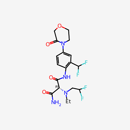 CCN(CC(F)F)[C@H](C(N)=O)C(=O)Nc1ccc(N2CCOCC2=O)cc1C(F)F